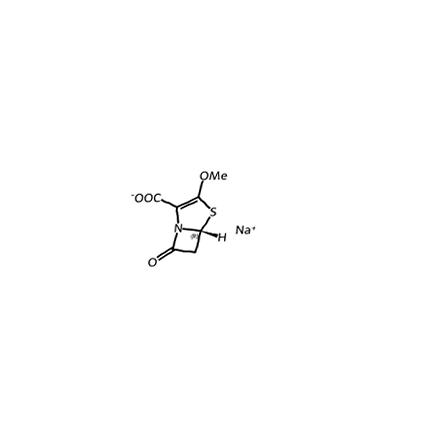 COC1=C(C(=O)[O-])N2C(=O)C[C@H]2S1.[Na+]